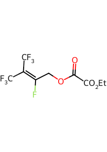 CCOC(=O)C(=O)OCC(F)=C(C(F)(F)F)C(F)(F)F